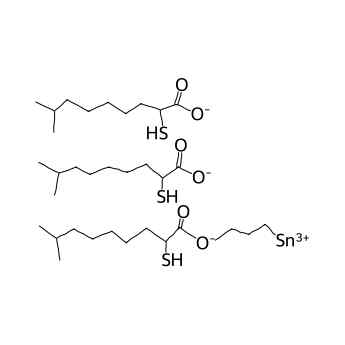 CC(C)CCCCCC(S)C(=O)[O-].CC(C)CCCCCC(S)C(=O)[O-].CC(C)CCCCCC(S)C(=O)[O-].CCC[CH2][Sn+3]